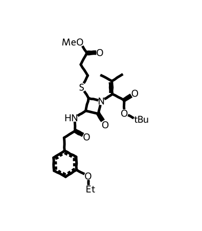 CCOc1cccc(CC(=O)NC2C(=O)N(C(C(=O)OC(C)(C)C)=C(C)C)C2SCCC(=O)OC)c1